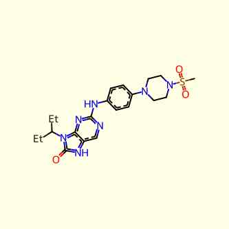 CCC(CC)n1c(=O)[nH]c2cnc(Nc3ccc(N4CCN(S(C)(=O)=O)CC4)cc3)nc21